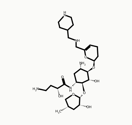 C[C@@H]1CO[C@H](O[C@@H]2[C@@H](O)[C@H](O[C@@H]3CCC=C(CNCC4CCNCC4)O3)[C@@H](N)C[C@H]2NC(=O)[C@H](O)CCN)[C@H](O)C1